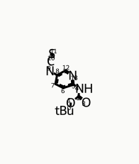 CC(C)(C)OC(=O)Nc1ccc(N=C=S)cn1